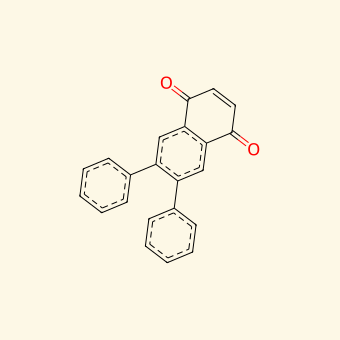 O=C1C=CC(=O)c2cc(-c3ccccc3)c(-c3ccccc3)cc21